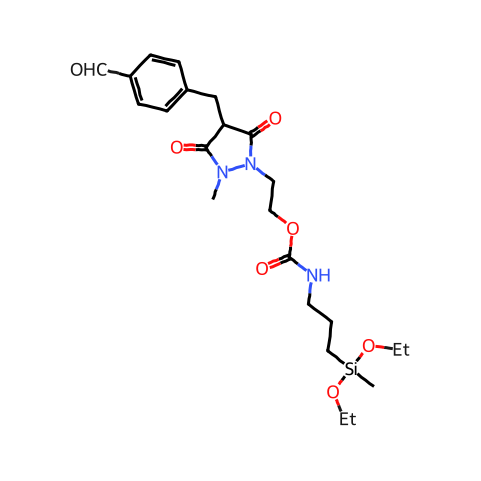 CCO[Si](C)(CCCNC(=O)OCCN1C(=O)C(Cc2ccc(C=O)cc2)C(=O)N1C)OCC